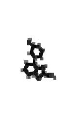 Cc1nc2c(-c3cccc(F)c3)cccc2o1